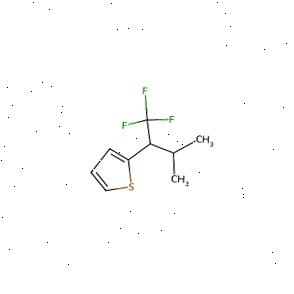 CC(C)C(c1cccs1)C(F)(F)F